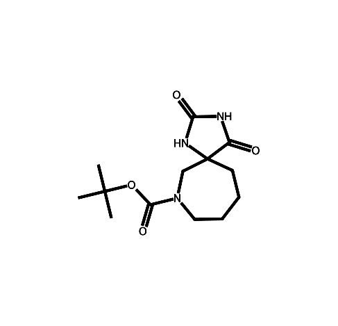 CC(C)(C)OC(=O)N1CCCCC2(C1)NC(=O)NC2=O